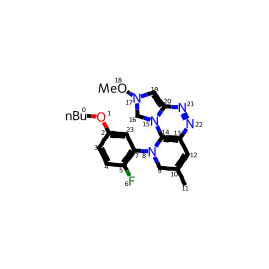 CCCCOc1ccc(F)c(N2CC(C)=CC3=C2N2CN(OC)C=C2N=N3)c1